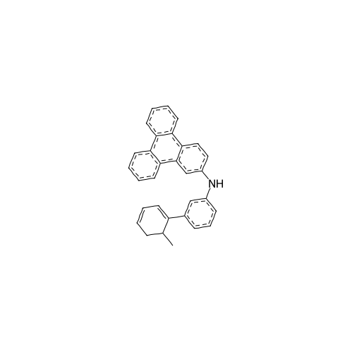 CC1CC=CC=C1c1cccc(Nc2ccc3c4ccccc4c4ccccc4c3c2)c1